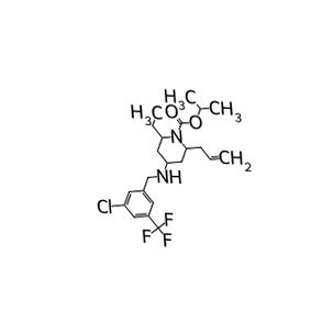 C=CCC1CC(NCc2cc(Cl)cc(C(F)(F)F)c2)CC(CC)N1C(=O)OC(C)C